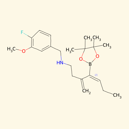 C=C(CCNCc1ccc(F)c(OC)c1)/C(=C\CC)B1OC(C)(C)C(C)(C)O1